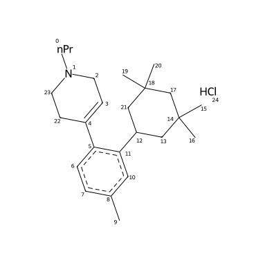 CCCN1CC=C(c2ccc(C)cc2C2CC(C)(C)CC(C)(C)C2)CC1.Cl